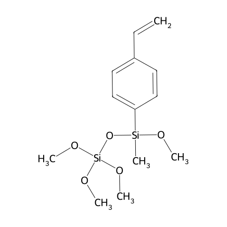 C=Cc1ccc([Si](C)(OC)O[Si](OC)(OC)OC)cc1